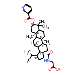 CC(C)[C@@H]1CC[C@]2(C(=O)NCC(=O)O)CC[C@]3(C)C(CCC4[C@@]5(C)CC[C@@H](OC(=O)c6cccnc6)C(C)(C)C5CC[C@]43C)C12